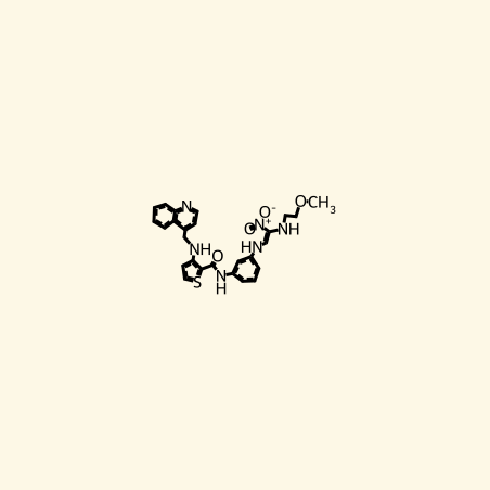 COCCNC(=CNc1cccc(NC(=O)c2sccc2NCc2ccnc3ccccc23)c1)[N+](=O)[O-]